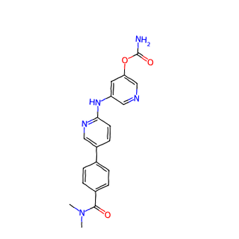 CN(C)C(=O)c1ccc(-c2ccc(Nc3cncc(OC(N)=O)c3)nc2)cc1